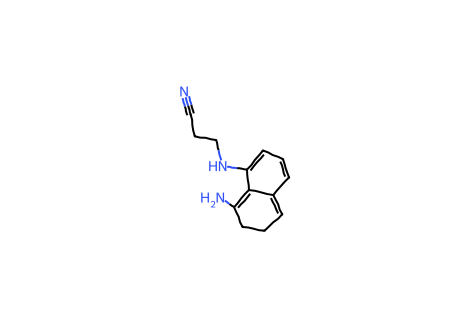 N#CCCNc1cccc2c1=C(N)CCC=2